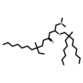 CCCCCCCC(C)(CC)CCC(=O)CC(CN(C)C)SCC(C)(CCCCCC)CCCCCC